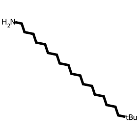 CC(C)(C)CCCCCCCCCCCCCCCCCCN